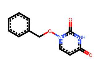 O=c1ccn(OCc2ccccc2)c(=O)[nH]1